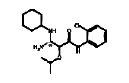 CC(C)OC(C(=O)Nc1ccccc1Cl)[C@H](N)NC1CCCCC1